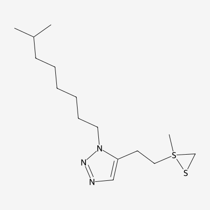 CC(C)CCCCCCn1nncc1CCS1(C)CS1